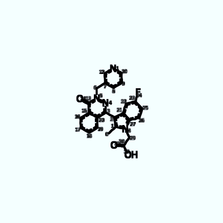 Cc1c(-c2nn(Cc3cccnc3)c(=O)c3ccccc23)c2cc(F)ccc2n1CC(=O)O